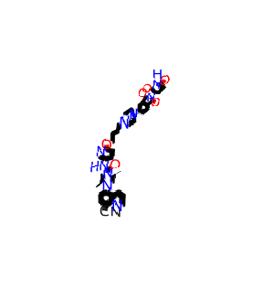 C[C@@H]1CN(c2ccc(C#N)c3ncccc23)[C@@H](C)CN1C(=O)Nc1ccc(OCCCCN2CCN(c3ccc4c(c3)C(=O)N(C3CCC(=O)NC3=O)C4=O)CC2)nc1